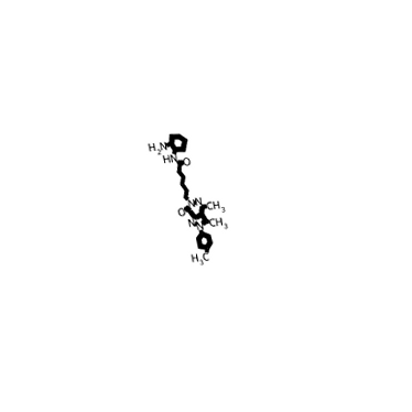 Cc1ccc(-n2nc3c(=O)n(CCCCCC(=O)Nc4ccccc4N)nc(C)c3c2C)cc1